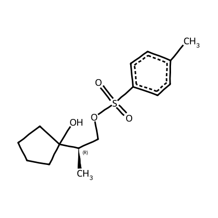 Cc1ccc(S(=O)(=O)OC[C@@H](C)C2(O)CCCC2)cc1